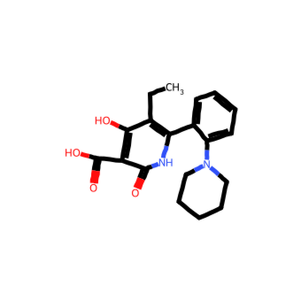 CCc1c(-c2ccccc2N2CCCCC2)[nH]c(=O)c(C(=O)O)c1O